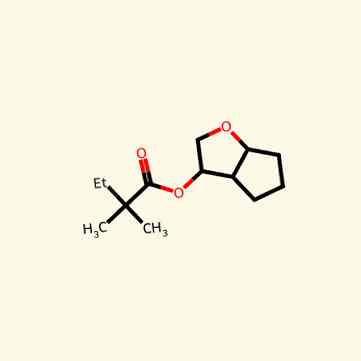 CCC(C)(C)C(=O)OC1COC2CCCC21